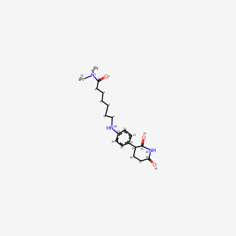 CC(C)N(C(=O)CCCCCCNc1ccc(C2CCC(=O)NC2=O)cc1)C(C)C